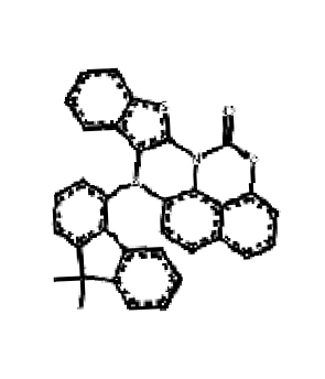 CC1(C)c2ccccc2-c2c(B3c4ccc5cccc6c5c4N(C(=O)O6)c4sc5ccccc5c43)cccc21